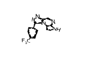 FC(F)(F)c1ccc(-c2nnc3cnc4[nH]ccc4n23)cc1